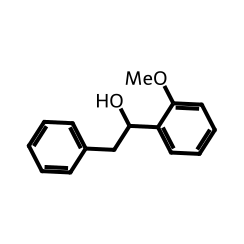 COc1ccccc1C(O)Cc1ccccc1